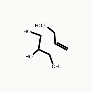 C=CCC(=O)O.OCC(O)CO